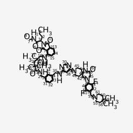 CCCC(C(=O)NC=O)N1C(=O)c2cccc(NCC(C)(C)CC(C)(C)C(=O)NCc3cccc(CNc4cc(N5CCC6(CC5)CN(c5cc(F)c(CN7CCC(C)(C)CC7)cc5F)CC(=O)N6)ncn4)c3)c2C1=O